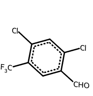 O=Cc1cc(C(F)(F)F)c(Cl)cc1Cl